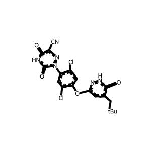 CC(C)(C)Cc1cc(Oc2cc(Cl)c(-n3nc(C#N)c(=O)[nH]c3=O)cc2Cl)n[nH]c1=O